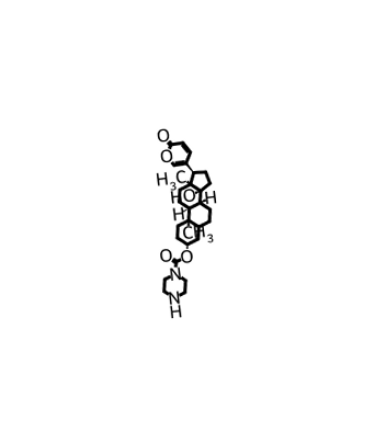 C[C@]12CC[C@@H](OC(=O)N3CCNCC3)CC1CC[C@@H]1[C@@H]2CC[C@]2(C)[C@@H](c3ccc(=O)oc3)CC[C@]12O